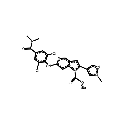 CN(C)C(=O)c1cc(Cl)c(Nc2cc3c(cn2)cc(-c2cnn(C)c2)n3C(=O)OC(C)(C)C)c(Cl)c1